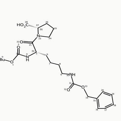 CC(C)(C)OC(=O)N[C@@H](CCCCNC(=O)OCc1ccccc1)C(=O)N1CCC[C@H]1C(=O)O